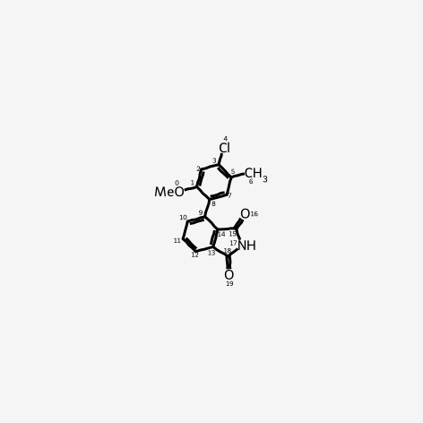 COc1cc(Cl)c(C)cc1-c1cccc2c1C(=O)NC2=O